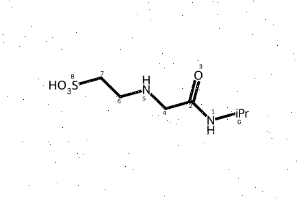 CC(C)NC(=O)CNCCS(=O)(=O)O